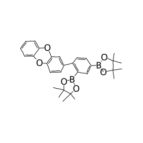 CC1(C)OB(c2ccc(-c3ccc4c(c3)Oc3ccccc3O4)c(B3OC(C)(C)C(C)(C)O3)c2)OC1(C)C